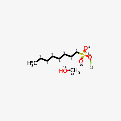 CCCCCCCCS(=O)(=O)OF.CO